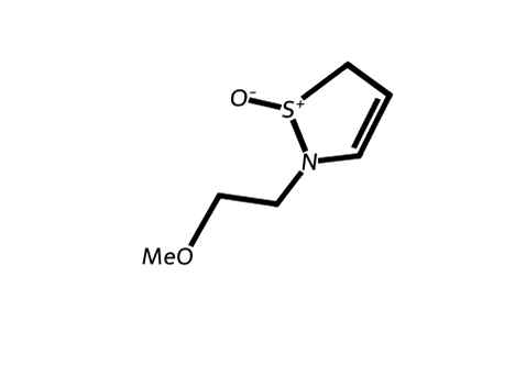 COCCN1C=CC[S+]1[O-]